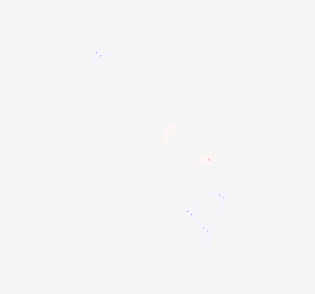 O=C(C=C(O)c1nc[nH]n1)c1ccsc1Cc1ccncc1